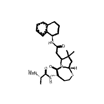 CN[C@@H](C)C(=O)N[C@H]1CCS[C@H]2CC(C)(C)C(CC(=O)N[C@@H]3CCCc4ccccc43)N2C1=O